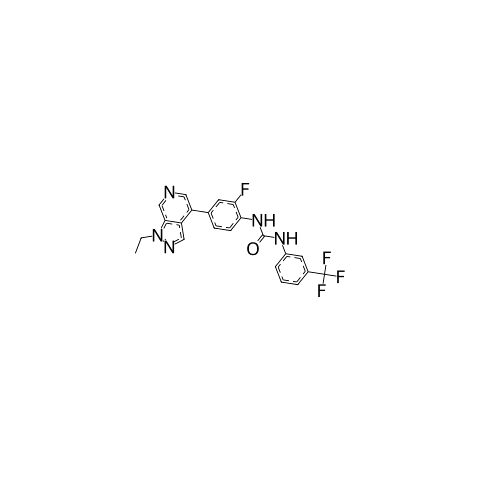 CCn1ncc2c(-c3ccc(NC(=O)Nc4cccc(C(F)(F)F)c4)c(F)c3)cncc21